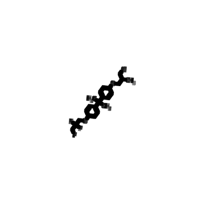 CC(CCl)COc1ccc(C(C)(C)c2ccc(OCC(F)(F)CF)cc2)cc1